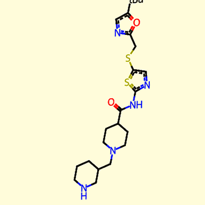 CC(C)(C)c1cnc(CSc2cnc(NC(=O)C3CCN(CC4CCCNC4)CC3)s2)o1